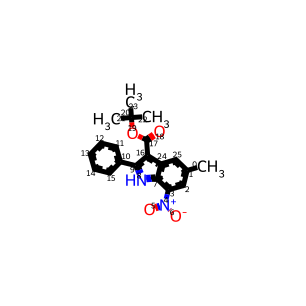 Cc1cc([N+](=O)[O-])c2[nH]c(-c3ccccc3)c(C(=O)OC(C)(C)C)c2c1